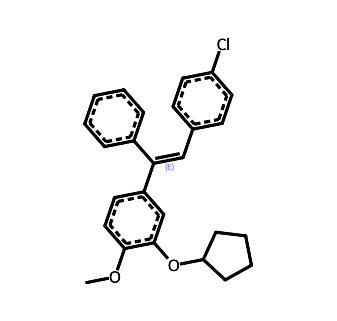 COc1ccc(/C(=C/c2ccc(Cl)cc2)c2ccccc2)cc1OC1CCCC1